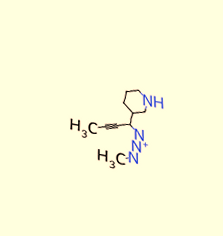 CC#CC(N=[N+]=NC)C1CCCNC1